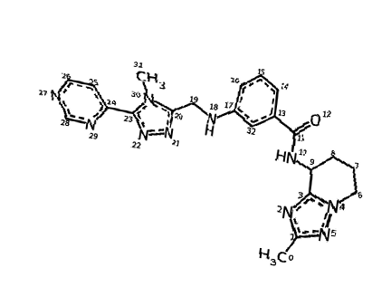 Cc1nc2n(n1)CCCC2NC(=O)c1cccc(NCc2nnc(-c3ccncn3)n2C)c1